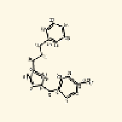 Brc1ccc(CC2C=NC(CCCc3ccccc3)=N2)cc1